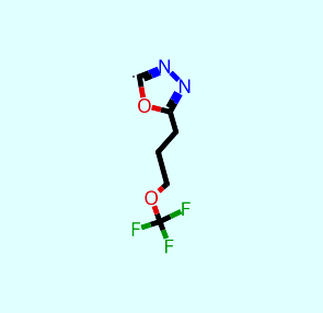 FC(F)(F)OCCCc1nn[c]o1